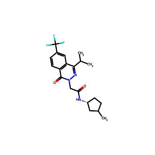 CC1CC[C@@H](NC(=O)Cn2nc(C(C)C)c3cc(C(F)(F)F)ccc3c2=O)C1